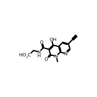 C#Cc1cnc2c(c1)c(O)c(C(=O)NCC(=O)O)c(=O)n2C